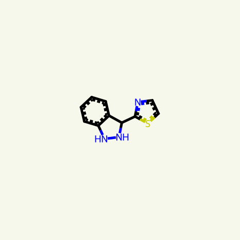 c1ccc2c(c1)NNC2c1nccs1